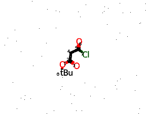 CC(C)(C)OC(=O)CC(=O)Cl